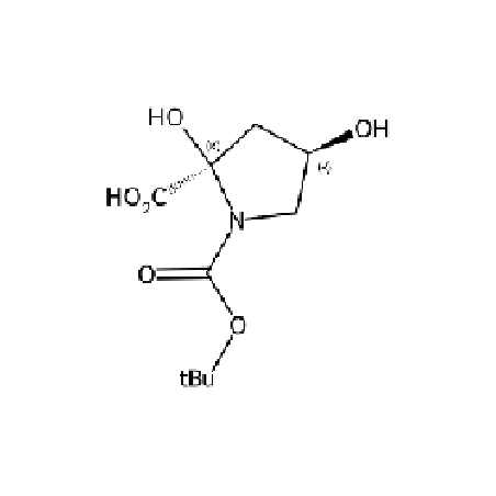 CC(C)(C)OC(=O)N1C[C@H](O)C[C@@]1(O)C(=O)O